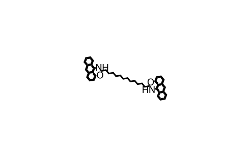 O=C(CCCCCCCCCCCCC(=O)Nc1c2ccccc2cc2ccccc12)Nc1c2ccccc2cc2ccccc12